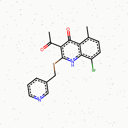 CC(=O)c1c(SCc2cccnc2)[nH]c2c(Br)ccc(C)c2c1=O